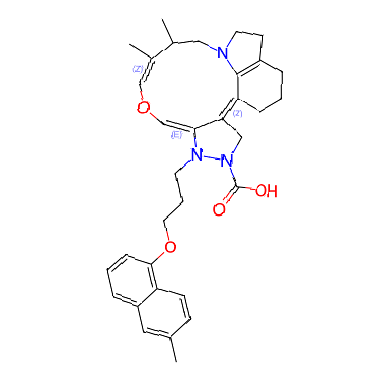 C/C1=C/O/C=C2\C(=C3\CCCC4=C3N(CC4)CC1C)CN(C(=O)O)N2CCCOc1cccc2cc(C)ccc12